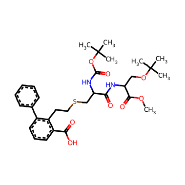 COC(=O)C(COC(C)(C)C)NC(=O)C(CSCCc1c(C(=O)O)cccc1-c1ccccc1)NC(=O)OC(C)(C)C